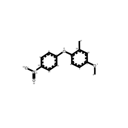 COc1ccc(Oc2ccc([N+](=O)[O-])cc2)c(C)c1